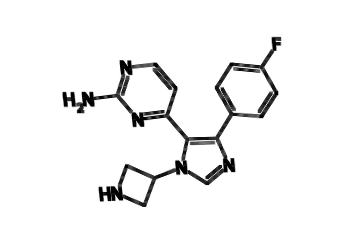 Nc1nccc(-c2c(-c3ccc(F)cc3)ncn2C2CNC2)n1